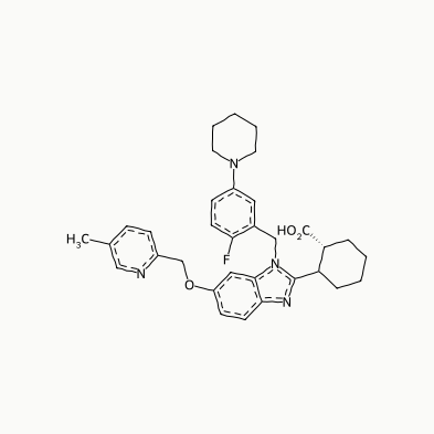 Cc1ccc(COc2ccc3nc(C4CCCC[C@H]4C(=O)O)n(Cc4cc(N5CCCCC5)ccc4F)c3c2)nc1